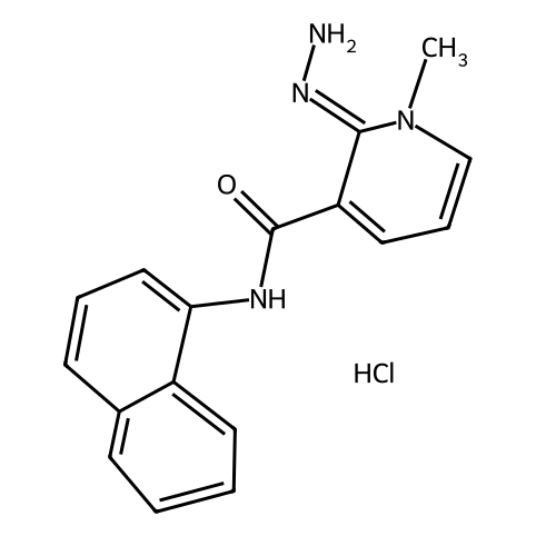 Cl.Cn1cccc(C(=O)Nc2cccc3ccccc23)c1=NN